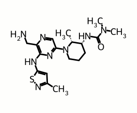 Cc1cc(Nc2nc(N3CCC[C@@H](NC(=O)N(C)C)[C@H]3C)cnc2CN)sn1